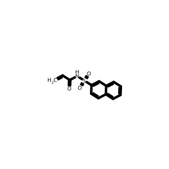 C=CC(=O)NS(=O)(=O)c1ccc2ccccc2c1